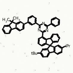 CC(C)c1ccc2c(c1)C1(c3cc(C(C)(C)C)ccc3-2)c2ccccc2-c2c(-c3nc(-c4ccccc4)nc(-c4cccc(-c5ccc6c(c5)C(C)(C)c5ccccc5-6)c4)n3)cccc21